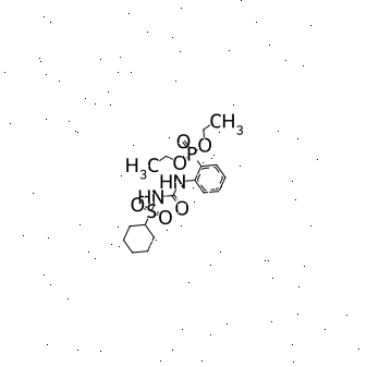 CCOP(=O)(OCC)c1ccccc1NC(=O)NS(=O)(=O)C1CCCCC1